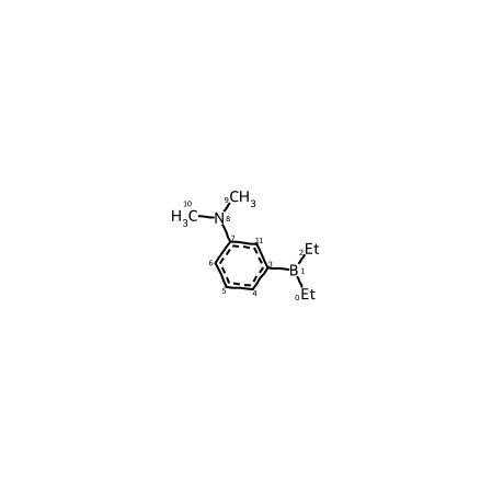 CCB(CC)c1cccc(N(C)C)c1